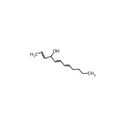 C/C=C/C(O)/C=C/C=C/CCCC